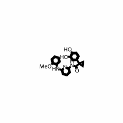 COc1ccccc1Nc1cccc(NC(=O)C2(c3ccc(O)c(O)c3)CC2)n1